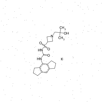 CC(C)(O)CN1CC(S(=O)(=O)NC(=O)Nc2c3c(cc4c2CCC4)CCC3)C1.[K]